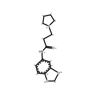 O=C(CCN1CCCC1)Nc1ccc2c(c1)OCO2